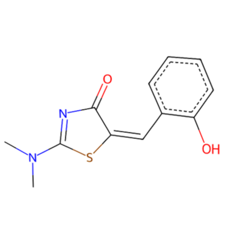 CN(C)C1=NC(=O)/C(=C\c2ccccc2O)S1